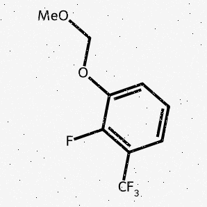 COCOc1cccc(C(F)(F)F)c1F